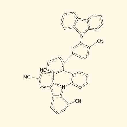 N#Cc1ccc(-c2ccc(C#N)c(-n3c4ccccc4c4ccccc43)c2)c(-c2ccccc2-n2c3ccc(C#N)cc3c3cccc(C#N)c32)c1